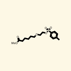 COC(=O)CCCCCOCCOS(=O)(=O)c1ccc(C)cc1